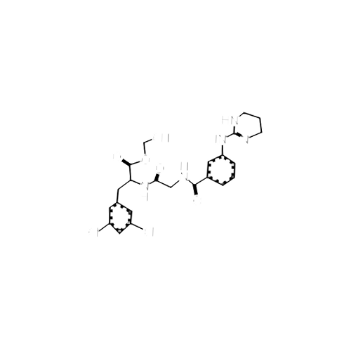 CCOC(=O)C(Cc1cc(Cl)cc(Cl)c1)NC(=O)CNC(=O)c1cccc(NC2=NCCCN2)c1